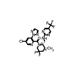 C[C@@H]1CC(F)(F)CN(C(=O)c2ncc(Cl)cc2-n2nccn2)[C@@H]1CNc1ncc(C(F)(F)F)cn1